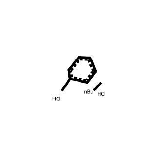 CCCCC.Cc1ccccc1.Cl.Cl